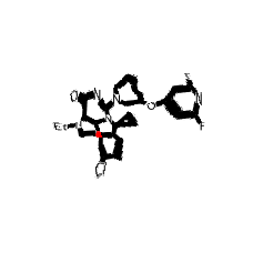 CCn1cnc2c1c(=O)nc(N1C=CC=CC(Oc3cc(F)nc(F)c3)=C1)n2C1(c2ccc(Cl)cc2)CC1